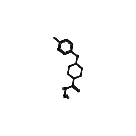 Cc1ccc(OC2CCC(C(=O)NN)CC2)cn1